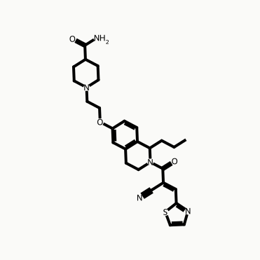 CCCC1c2ccc(OCCN3CCC(C(N)=O)CC3)cc2CCN1C(=O)C(C#N)=Cc1nccs1